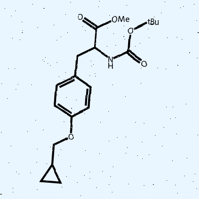 COC(=O)C(Cc1ccc(OCC2CC2)cc1)NC(=O)OC(C)(C)C